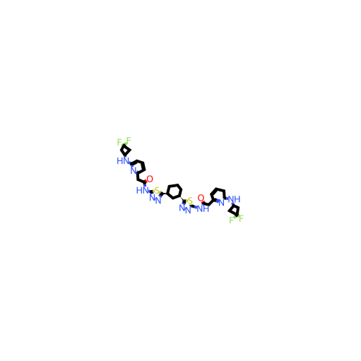 O=C(CC1=NC(NC2CC(F)(F)C2)CC=C1)Nc1nnc([C@H]2CCC[C@H](c3nnc(NC(=O)Cc4cccc(NC5CC(F)(F)C5)n4)s3)C2)s1